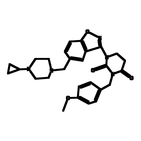 COc1ccc(CN2C(=O)CCN(c3noc4ccc(CN5CCN(C6CC6)CC5)cc34)C2=O)cc1